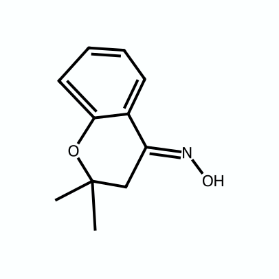 CC1(C)CC(=NO)c2ccccc2O1